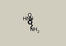 NCCc1ccc2c(c1)[N]C(=O)N2